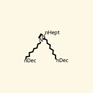 CCCCCCCCCCCCCCCCCCc1n(CCCCCCC)cc[n+]1CCCCCCCCCCCCCCCCCC